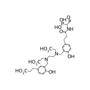 O=PC(NC(=O)CCc1ccc(O)c(CN(CCN(CC(=O)O)Cc2cc(CCC(=O)O)ccc2O)CC(=O)O)c1)P(O)O